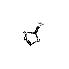 N=C1[N]N=[C]O1